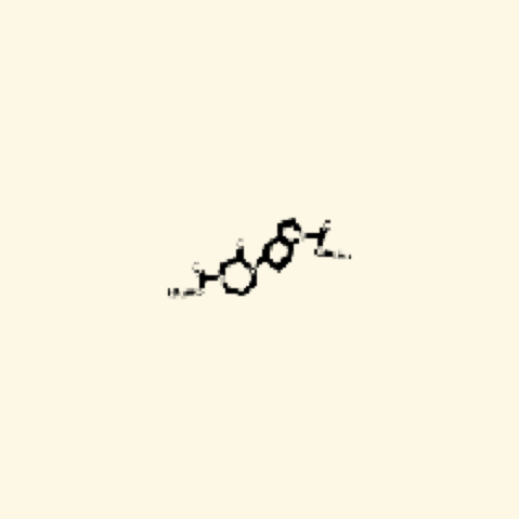 CC(C)(C)OC(=O)N1CCCN(c2ccc3c(ccn3C(=O)OC(C)(C)C)c2)C(=O)C1